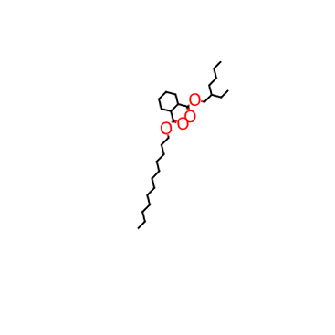 CCCCCCCCCCCCOC(=O)C1CCCCC1C(=O)OCC(CC)CCCC